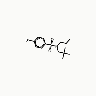 CCCN(CC(C)(C)C)S(=O)(=O)c1ccc(Br)cc1